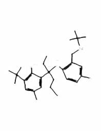 CCCC(CC)(Pc1ccc(F)cc1CNC(C)(C)C)c1cc(C)cc(C(C)(C)C)c1O